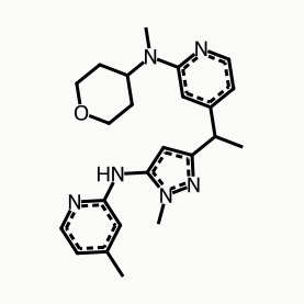 Cc1ccnc(Nc2cc(C(C)c3ccnc(N(C)C4CCOCC4)c3)nn2C)c1